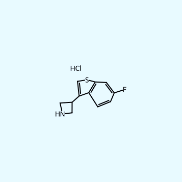 Cl.Fc1ccc2c(C3CNC3)csc2c1